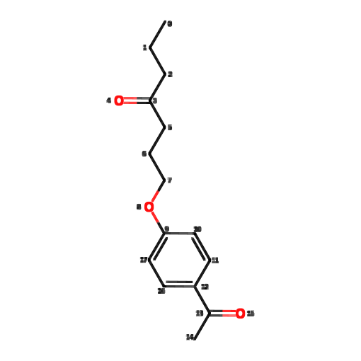 CCCC(=O)CCCOc1ccc(C(C)=O)cc1